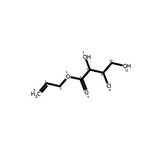 C=CCOC(=O)C(O)C(Cl)CO